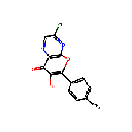 O=c1c(O)c(-c2ccc(C(F)(F)F)cc2)oc2nc(Cl)cnc12